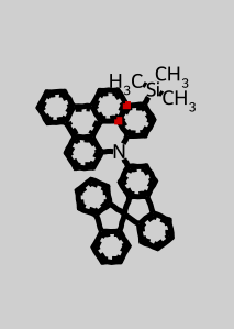 C[Si](C)(C)c1ccc(N(c2ccc3c(c2)C2(c4ccccc4-c4ccccc42)c2ccccc2-3)c2cccc3c4ccccc4c4ccccc4c23)cc1